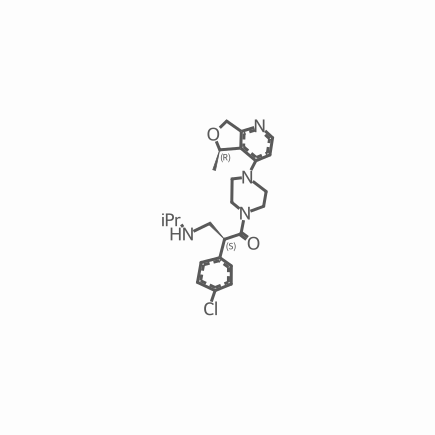 CC(C)NC[C@@H](C(=O)N1CCN(c2ccnc3c2[C@@H](C)OC3)CC1)c1ccc(Cl)cc1